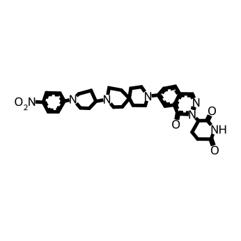 O=C1CCC(n2ncc3ccc(N4CCC5(CC4)CCN(C4CCN(c6ccc([N+](=O)[O-])cc6)CC4)CC5)cc3c2=O)C(=O)N1